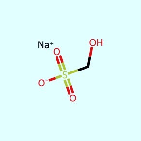 O=S(=O)([O-])CO.[Na+]